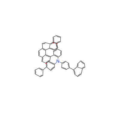 c1ccc(-c2ccc(N(c3ccc(-c4cccc5ccccc45)cc3)c3ccc(-c4ccccc4)cc3-c3cccc4ccc5ccc6ccccc6c5c34)cc2)cc1